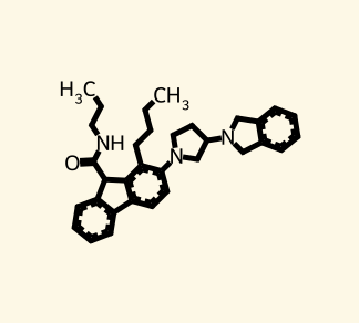 CCCCc1c(N2CCC(N3Cc4ccccc4C3)C2)ccc2c1C(C(=O)NCCC)c1ccccc1-2